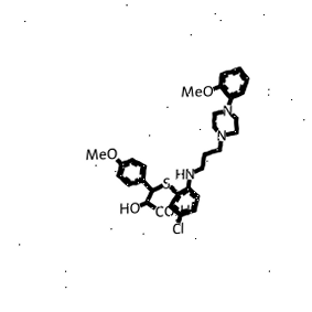 COc1ccc(C(Sc2cc(Cl)ccc2NCCCN2CCN(c3ccccc3OC)CC2)C(O)C(=O)O)cc1